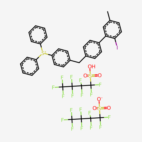 Cc1ccc(I)c(-c2ccc(Cc3ccc([S+](c4ccccc4)c4ccccc4)cc3)cc2)c1.O=S(=O)(O)C(F)(F)C(F)(F)C(F)(F)C(F)(F)F.O=S(=O)([O-])C(F)(F)C(F)(F)C(F)(F)C(F)(F)F